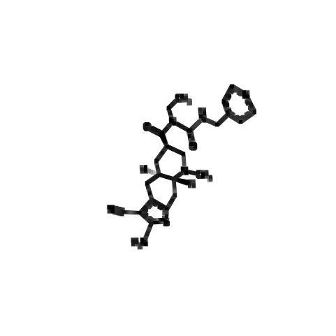 CCN(C(=O)NCc1ccncc1)C(=O)[C@@H]1C[C@@H]2Cc3c(sc(N)c3C#N)C[C@H]2N(C)C1